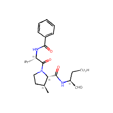 CC(C)[C@H](NC(=O)c1ccccc1)C(=O)N1CC[C@H](C)[C@H]1C(=O)N[C@H](C=O)CC(=O)O